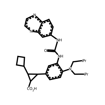 CC(C)CN(CC(C)C)c1ccc(C2C(C(=O)O)C2C2CCC2)cc1NC(=O)Nc1ccc2nccnc2c1